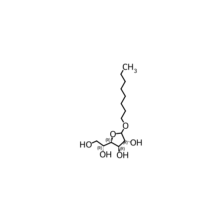 CCCCCCCCOC1O[C@H]([C@H](O)CO)[C@H](O)[C@H]1O